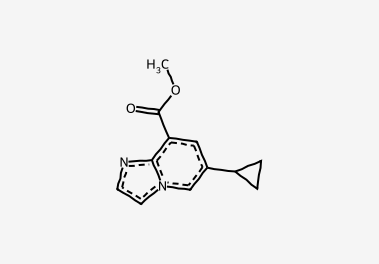 COC(=O)c1cc(C2CC2)cn2ccnc12